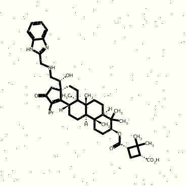 CC(C)C1=C2[C@H]3CC[C@@H]4[C@@]5(C)CC[C@H](OC(=O)[C@H]6C[C@@H](C(=O)O)C6(C)C)C(C)(C)[C@@H]5CC[C@@]4(C)[C@]3(C)CC[C@@]2([C@@H](O)CNCc2nc3ccccc3[nH]2)CC1=O